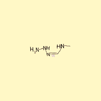 CN/C=N\NN